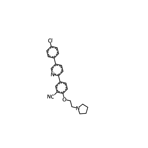 N#Cc1cc(-c2ccc(-c3ccc(Cl)cc3)cn2)ccc1OCCN1CCCC1